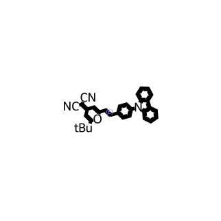 CC(C)(C)C1=CC(=C(C#N)C#N)C=C(/C=C/c2ccc(-n3c4ccccc4c4ccccc43)cc2)O1